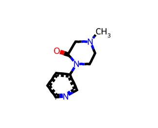 CN1CCN(c2cc[c]nc2)C(=O)C1